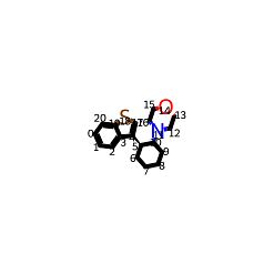 c1ccc2c([C@@H]3CCCC[C@@H]3N3CCOCC3)csc2c1